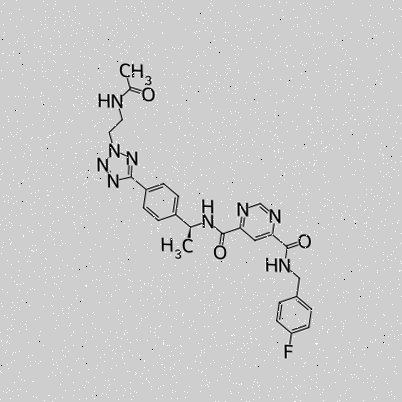 CC(=O)NCCn1nnc(-c2ccc([C@H](C)NC(=O)c3cc(C(=O)NCc4ccc(F)cc4)ncn3)cc2)n1